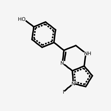 Oc1ccc(C2=Nc3c(ccn3I)NC2)cc1